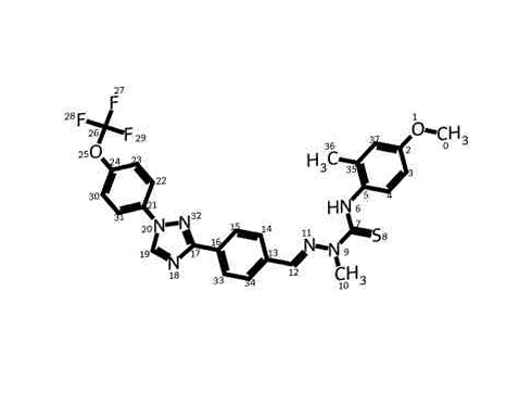 COc1ccc(NC(=S)N(C)/N=C/c2ccc(-c3ncn(-c4ccc(OC(F)(F)F)cc4)n3)cc2)c(C)c1